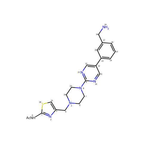 CC(=O)Nc1nc(CN2CCN(c3ncc(-c4cccc(CN)c4)cn3)CC2)cs1